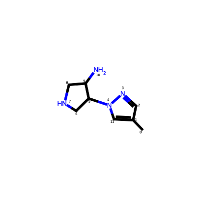 Cc1cnn(C2CNCC2N)c1